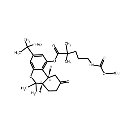 CCCCCCC(C)(C)c1cc(OC(=O)C(C)(C)CCCNC(=O)OC(C)(C)C)c2c(c1)OC(C)(C)[C@H]1CCC(=O)C[C@@H]21